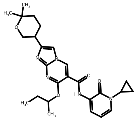 CCC(C)Oc1nc2nc(C3CCC(C)(C)OC3)cn2cc1C(=O)Nc1cccn(C2CC2)c1=O